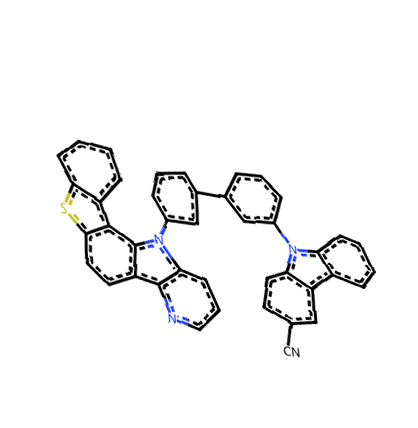 N#Cc1ccc2c(c1)c1ccccc1n2-c1cccc(-c2cccc(-n3c4cccnc4c4ccc5sc6ccccc6c5c43)c2)c1